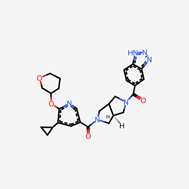 O=C(c1cnc(OC2CCCOC2)c(C2CC2)c1)N1CC2CN(C(=O)c3ccc4[nH]nnc4c3)C[C@H]2C1